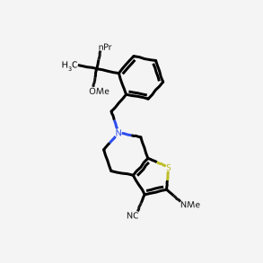 CCCC(C)(OC)c1ccccc1CN1CCc2c(sc(NC)c2C#N)C1